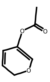 CC(=O)OC1=COCC=C1